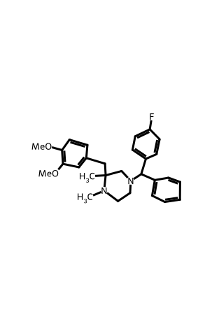 COc1ccc(CC2(C)CN(C(c3ccccc3)c3ccc(F)cc3)CCN2C)cc1OC